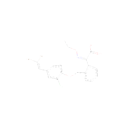 CCON=C(C(=O)O)c1ccccc1COc1ccc(C=C(Br)Br)cc1Cl